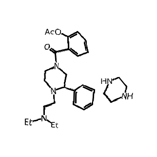 C1CNCCN1.CCN(CC)CCN1CCN(C(=O)c2ccccc2OC(C)=O)CC1c1ccccc1